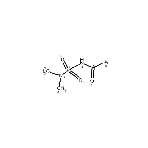 CC(C)C(=O)NS(=O)(=O)N(C)C